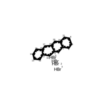 Br.Br.Br.Br.c1ccc2cc3cc4ccccc4cc3cc2c1